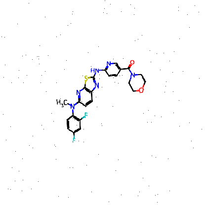 CN(c1ccc2nc(Nc3ccc(C(=O)N4CCOCC4)cn3)sc2n1)c1ccc(F)cc1F